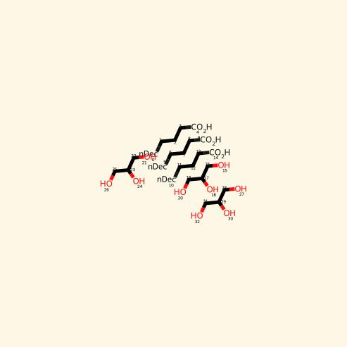 CCCCCCCCCCCCCC(=O)O.CCCCCCCCCCCCCC(=O)O.CCCCCCCCCCCCCC(=O)O.OCC(O)CO.OCC(O)CO.OCC(O)CO